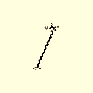 C[C@H](NC(=O)CCCCCCCCCCCCCCCCCCC(=O)O)C(=O)CN